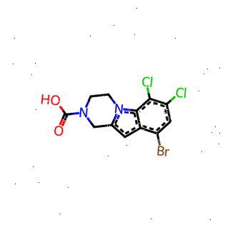 O=C(O)N1CCn2c(cc3c(Br)cc(Cl)c(Cl)c32)C1